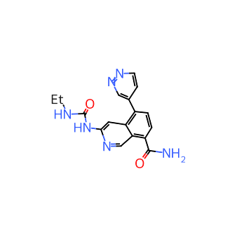 CCNC(=O)Nc1cc2c(-c3ccnnc3)ccc(C(N)=O)c2cn1